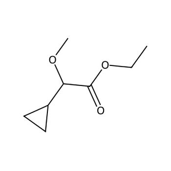 CCOC(=O)C(OC)C1CC1